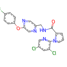 O=C(NCc1cnc(Oc2ccc(F)cc2)cn1)c1cccn1-c1ncc(Cl)cc1Cl